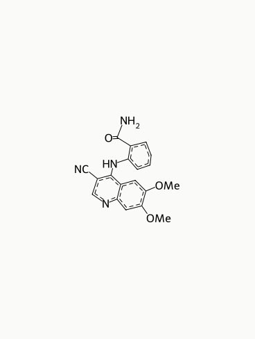 COc1cc2ncc(C#N)c(Nc3ccccc3C(N)=O)c2cc1OC